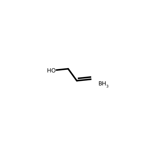 B.C=CCO